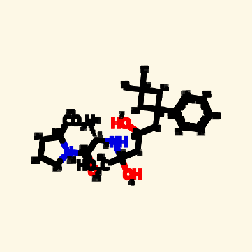 C[C@H](NC(O)(CC(O)CC1(c2ccccc2)CC(C)(C)C1)C(=O)O)C(=O)N1CCC[C@H]1C(=O)O